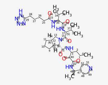 CCCC(NC(=O)[C@@H]1[C@H]2CCC[C@H]2CN1C(=O)[C@@H](NC(=O)[C@@H](NC(=O)CCCCc1nnn[nH]1)C(C)C)C(C)C)C(=O)C(=O)N[C@H](C)c1ccncc1